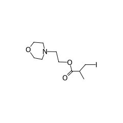 CC(CI)C(=O)OCCN1CCOCC1